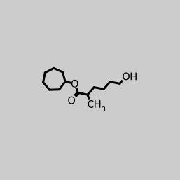 CC(CCCCO)C(=O)OC1CCCCCC1